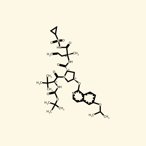 C=CC[C@@](C)(NC(=O)[C@@H]1C[C@@H](Oc2nccc3cc(OC(C)C)ccc23)CN1C(=O)[C@@H](NC(=O)OC(C)(C)C)C(C)(C)C)C(=O)NS(=O)(=O)C1CC1